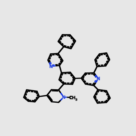 CN1CC=C(c2ccccc2)C=C1c1cc(-c2cc(-c3ccccc3)nc(-c3ccccc3)c2)cc(-c2cc(-c3ccccc3)ccn2)c1